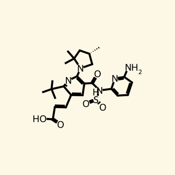 C[C@@H]1CN(c2nc(C(C)(C)C)c(C=CC(=O)O)cc2C(=O)N(c2cccc(N)n2)[SH](=O)=O)C(C)(C)C1